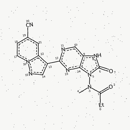 CCC(=O)N(C)n1c(=O)[nH]c2cnc(-c3cnn4ccc(C#N)cc34)nc21